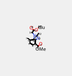 COC(=O)c1ccc(C)c2c1nc(C)n2CC(=O)OC(C)(C)C